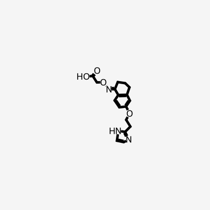 O=C(O)CON=C1CCCc2cc(OCCc3ncc[nH]3)ccc21